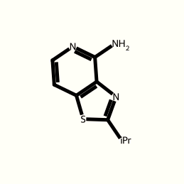 CC(C)c1nc2c(N)nccc2s1